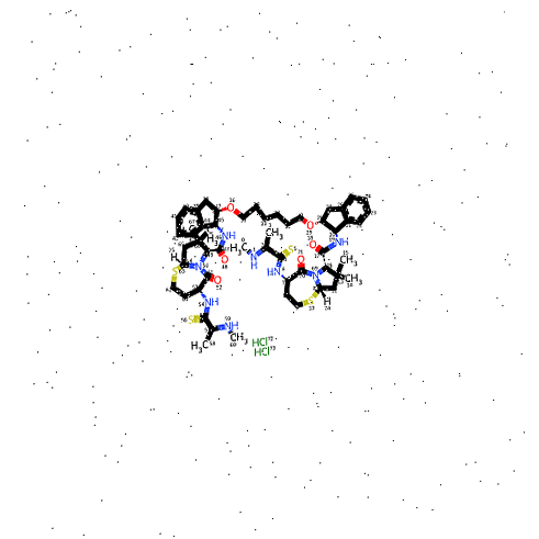 CNC(C)C(=S)N[C@H]1CCS[C@H]2CC(C)(C)[C@@H](C(=O)N[C@H]3c4ccccc4C[C@H]3OCCCCCCO[C@@H]3Cc4ccccc4[C@@H]3NC(=O)[C@H]3N4C(=O)[C@@H](NC(=S)C(C)NC)CCS[C@H]4CC3(C)C)N2C1=O.Cl.Cl